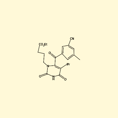 CCOC(=O)CCCn1c(C(=O)c2cc(C)cc(C#N)c2)c(C(C)C)c(=O)[nH]c1=O